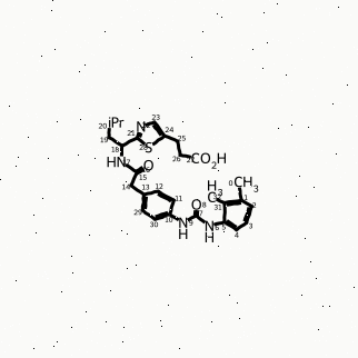 Cc1cccc(NC(=O)Nc2ccc(CC(=O)NC(CC(C)C)c3ncc(CCC(=O)O)s3)cc2)c1C